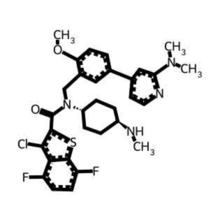 CN[C@H]1CC[C@H](N(Cc2cc(-c3ccnc(N(C)C)c3)ccc2OC)C(=O)c2sc3c(F)ccc(F)c3c2Cl)CC1